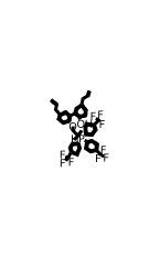 C=CCc1ccc(O)c(-c2cc(CC=C)ccc2OCC(C)(C)[PH](c2ccc(C(F)(F)F)cc2)(c2ccc(C(F)(F)F)cc2)c2ccc(C(F)(F)F)cc2)c1